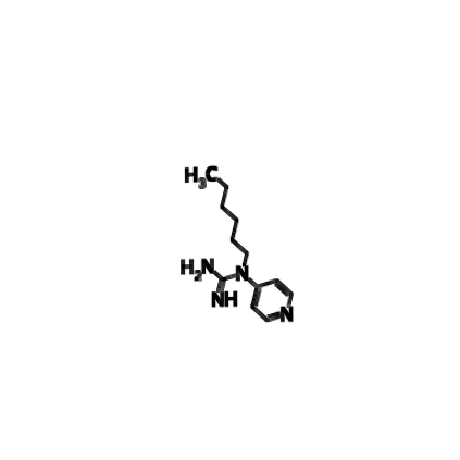 CCCCCCN(C(=N)N)c1ccncc1